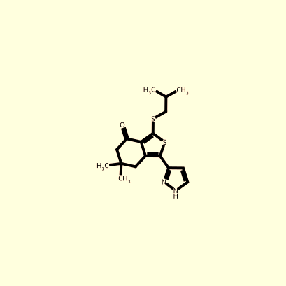 CC(C)CSc1sc(-c2cc[nH]n2)c2c1C(=O)CC(C)(C)C2